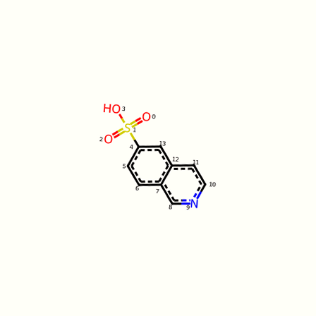 O=S(=O)(O)c1ccc2cnccc2c1